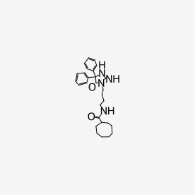 N=C1NC(c2ccccc2)(c2ccccc2)C(=O)N1CCCCNC(=O)C1CCCCCCC1